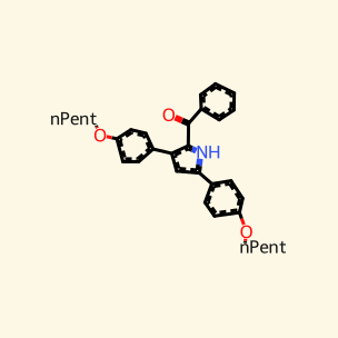 CCCCCOc1ccc(-c2cc(-c3ccc(OCCCCC)cc3)c(C(=O)c3ccccc3)[nH]2)cc1